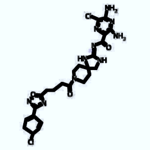 Nc1nc(N)c(C(=O)/N=C2\NCC3(CCN(C(=O)CCCc4nc(C5=CCC(Cl)C=C5)no4)CC3)N2)nc1Cl